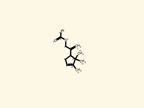 C=C(COC(=O)C(C)C)C1CC=C(C)C1(C)C